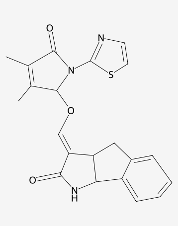 CC1=C(C)C(OC=C2C(=O)NC3c4ccccc4CC23)N(c2nccs2)C1=O